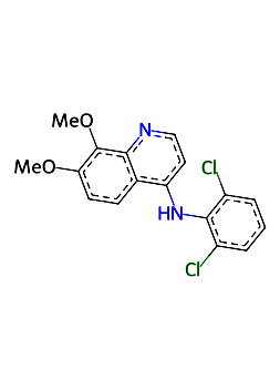 COc1ccc2c(Nc3c(Cl)cccc3Cl)ccnc2c1OC